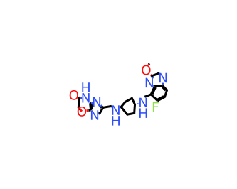 COc1cnc2ccc(F)c(CN[C@H]3CC[C@H](NCc4cnc5c(n4)NC(=O)CO5)CC3)c2n1